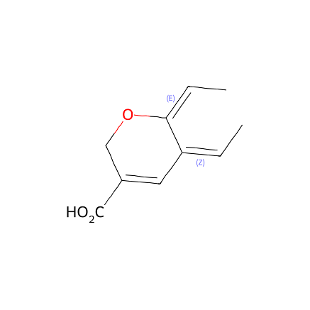 C/C=C1/C=C(C(=O)O)CO/C1=C/C